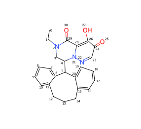 CCN1CC(C2c3ccccc3CCCc3ccccc32)n2ncc(=O)c(O)c2C1=O